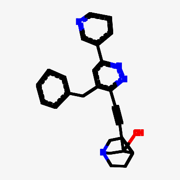 OC1(C#Cc2nnc(-c3cccnc3)cc2Cc2ccccc2)CN2CCC1CC2